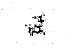 COc1cc2ncc(Br)n2cc1SC(C)(C)C(=O)O